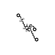 O=C(NCCCCC1NC(=O)C2(CCN(CCCCCCc3ccccc3)CC2)N(C2CCN(Cc3ccccc3)C2)C1=O)OCc1ccccc1